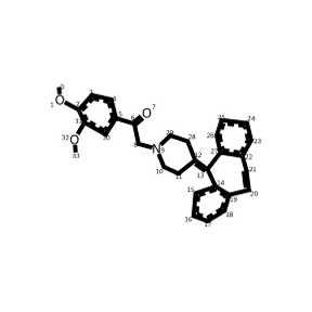 COc1ccc(C(=O)CN2CCC(=C3c4ccccc4C=Cc4ccccc43)CC2)cc1OC